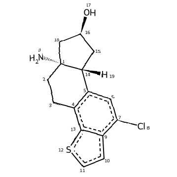 N[C@@]12CCc3c(cc(Cl)c4ccsc34)[C@H]1C[C@H](O)C2